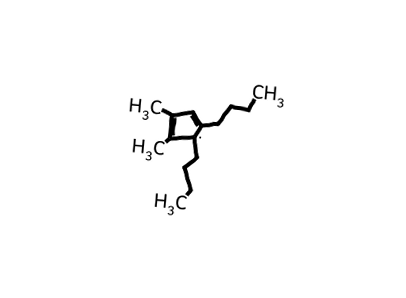 CCCC[C]1C(CCCC)=CC(C)=C1C